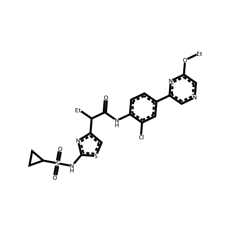 CCOc1cncc(-c2ccc(NC(=O)C(CC)c3csc(NS(=O)(=O)C4CC4)n3)c(Cl)c2)n1